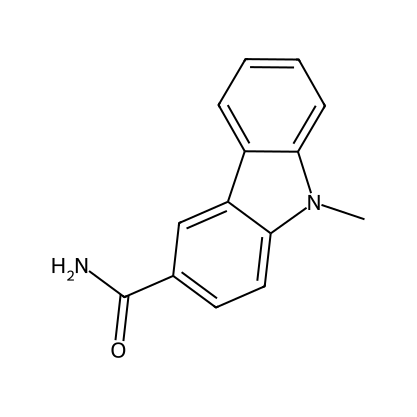 Cn1c2ccccc2c2cc(C(N)=O)ccc21